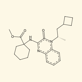 COC(=O)C1(Nc2nc3ccccc3n([C@@H](C)CC3CCC3)c2=O)CCCCC1